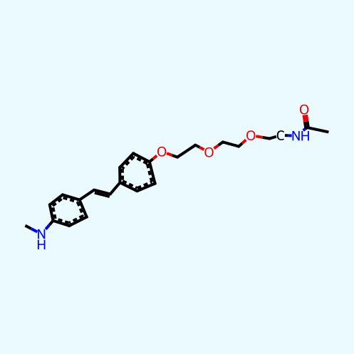 CNc1ccc(C=Cc2ccc(OCCOCCOCCNC(C)=O)cc2)cc1